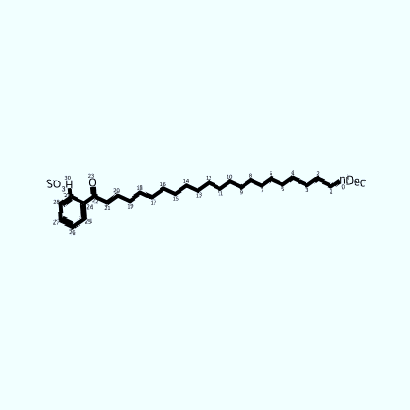 CCCCCCCCCCCCCCCCCCCCCCCCCCCCCCCC(=O)c1ccccc1S(=O)(=O)O